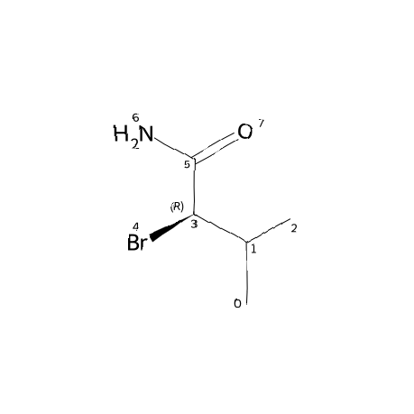 CC(C)[C@@H](Br)C(N)=O